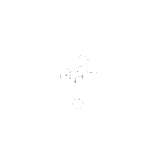 O=c1c2cc(F)ccc2n2c(=S)[nH]nc2n1CCCc1ccccc1